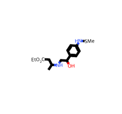 CCOC(=O)CC(C)NCC(O)c1ccc(NSC)cc1